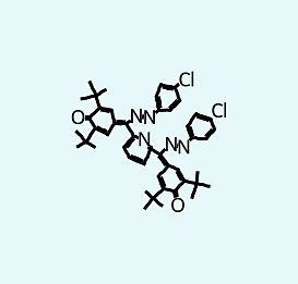 CC(C)(C)C1=CC(=C(/N=N/c2ccc(Cl)cc2)c2cccc(C(/N=N/c3ccc(Cl)cc3)=C3C=C(C(C)(C)C)C(=O)C(C(C)(C)C)=C3)n2)C=C(C(C)(C)C)C1=O